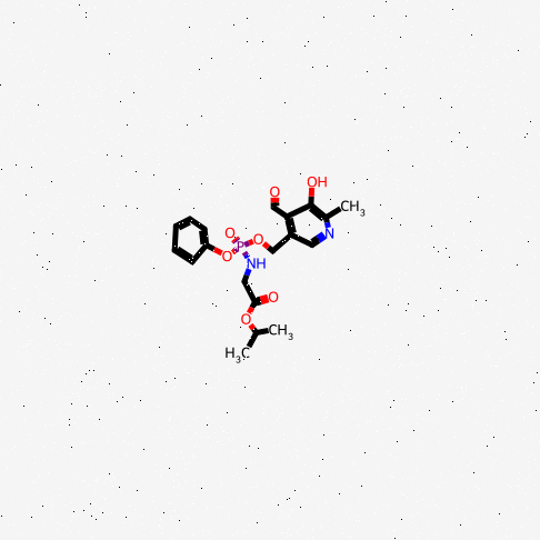 Cc1ncc(COP(=O)(NCC(=O)OC(C)C)Oc2ccccc2)c(C=O)c1O